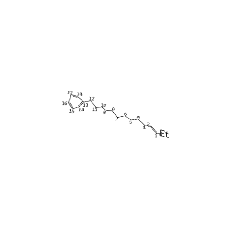 [CH2]CC=CCCCCCCCCCCc1ccccc1